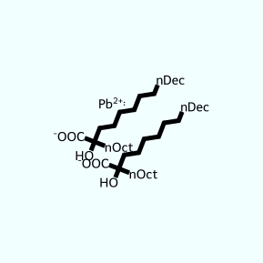 CCCCCCCCCCCCCCCCC(O)(CCCCCCCC)C(=O)[O-].CCCCCCCCCCCCCCCCC(O)(CCCCCCCC)C(=O)[O-].[Pb+2]